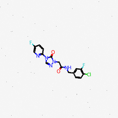 O=C(Cn1ncn(-c2ccc(F)cn2)c1=O)NCc1ccc(Cl)c(F)c1